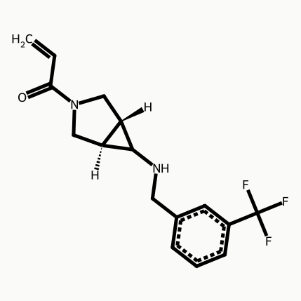 C=CC(=O)N1C[C@@H]2C(NCc3cccc(C(F)(F)F)c3)[C@H]2C1